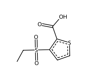 CCS(=O)(=O)c1ccsc1C(=O)O